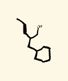 CCCC(CO)CC1CCCCC1